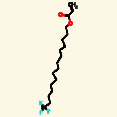 C=CC(=O)OCCCCCCCCCCCCCC[Si](F)(F)F